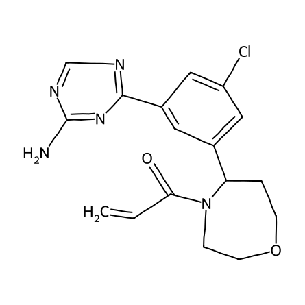 C=CC(=O)N1CCOCCC1c1cc(Cl)cc(-c2ncnc(N)n2)c1